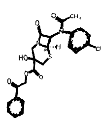 CC(=O)N(c1ccc(Cl)cc1)C1C(=O)N2CC(O)(C(=O)OCC(=O)c3ccccc3)CS[C@H]12